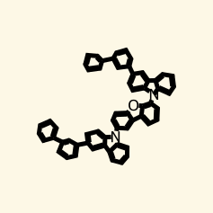 c1ccc(-c2cccc(-c3ccc4c(c3)c3ccccc3n4-c3ccc4oc5c(-n6c7ccccc7c7cc(-c8cccc(-c9ccccc9)c8)ccc76)cccc5c4c3)c2)cc1